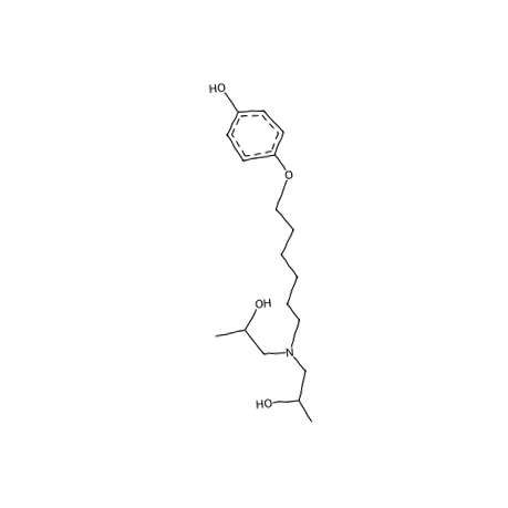 CC(O)CN(CCCCCCOc1ccc(O)cc1)CC(C)O